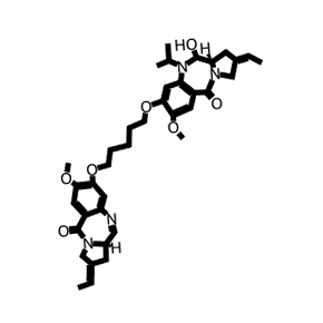 CC=C1C[C@H]2C=Nc3cc(OCCCCCOc4cc5c(cc4OC)C(=O)N4CC(=CC)C[C@H]4C(O)N5C(C)C)c(OC)cc3C(=O)N2C1